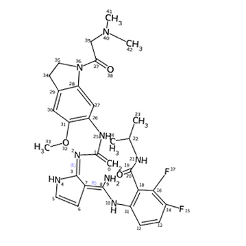 C=C(/N=C1/NC=C/C1=C(/N)Nc1ccc(F)c(F)c1C(=O)NC(C)C)Nc1cc2c(cc1OC)CCN2C(=O)CN(C)C